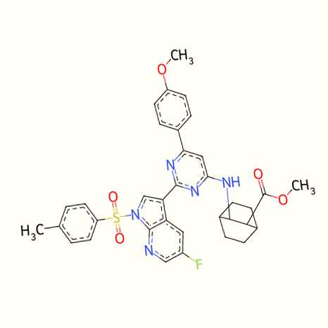 COC(=O)C1C2CCC(CC2)C1Nc1cc(-c2ccc(OC)cc2)nc(-c2cn(S(=O)(=O)c3ccc(C)cc3)c3ncc(F)cc23)n1